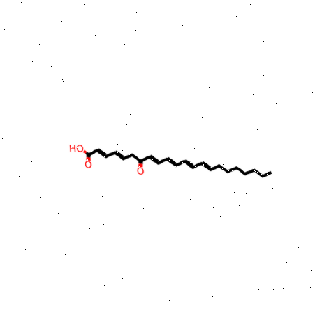 CCCCCCCC=CC=CC=CC=CC(=O)CC=CC=CC(=O)O